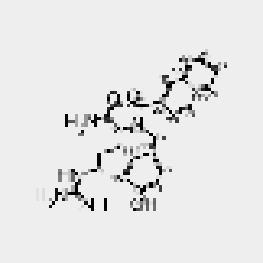 N=C(N)NCCC[C@H](C(N)=O)N(Cc1ccc(O)cc1)C(=O)c1ccc2ccccc2c1